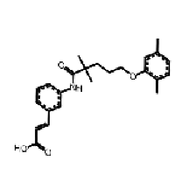 Cc1ccc(C)c(OCCCC(C)(C)C(=O)Nc2cccc(C=CC(=O)O)c2)c1